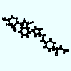 Cc1nn(C2CCC(=O)NC2=O)c2cccc(-c3cnn(CCC4CCN(C(=O)OC(C)(C)C)CC4)c3)c12